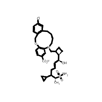 C[C@H](C(C/C=C/[C@H](O)[C@@H]1CCC1CN1CCCCc2cc(Cl)ccc2COc2ccc(C(=O)O)cc21)C1CC1)S(N)(=O)=O